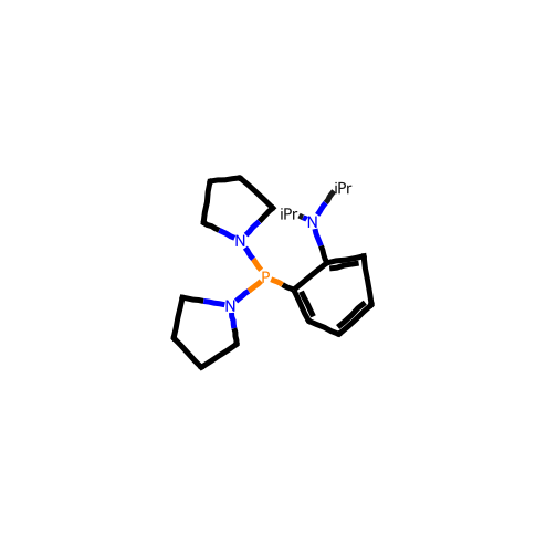 CC(C)N(c1ccccc1P(N1CCCC1)N1CCCC1)C(C)C